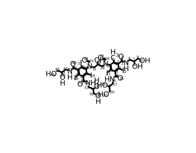 Cc1c(C(=O)NCC(O)CO)c(I)c(C(=O)NCC(O)CO)c(I)c1N(C=O)CC(O)CN(C=O)c1c(I)c(C(=O)NCC(O)CO)c(I)c(C(=O)NCC(O)CO)c1I